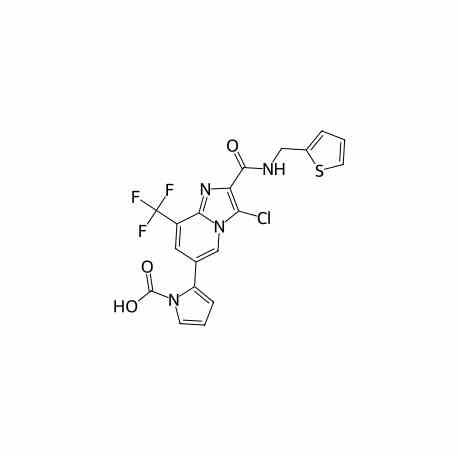 O=C(NCc1cccs1)c1nc2c(C(F)(F)F)cc(-c3cccn3C(=O)O)cn2c1Cl